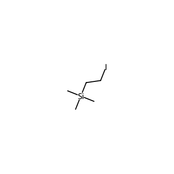 C[Si](C)(C)CCI